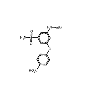 CCCCNc1cc(Oc2ccc(C(=O)O)cc2)cc(S(N)(=O)=O)c1